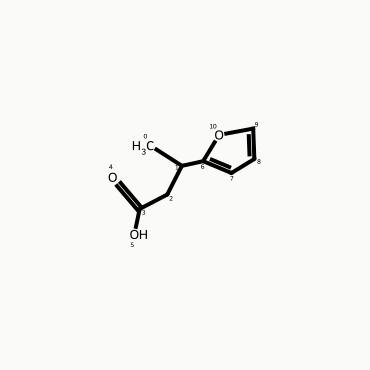 CC(CC(=O)O)c1ccco1